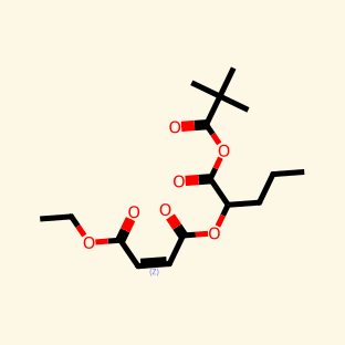 CCCC(OC(=O)/C=C\C(=O)OCC)C(=O)OC(=O)C(C)(C)C